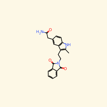 Cc1[nH]c2ccc(CC(N)=O)cc2c1CCN1C(=O)c2ccccc2C1=O